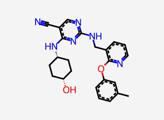 Cc1cccc(Oc2ncccc2CNc2ncc(C#N)c(N[C@H]3CC[C@@H](O)CC3)n2)c1